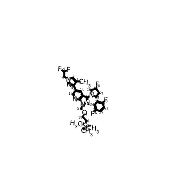 Cc1cn(CC(F)F)nc1-c1cnc2c(c1)c(N1C[C@@H](F)C[C@@H]1c1cc(F)ccc1F)nn2COCC[Si](C)(C)C